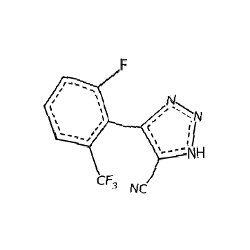 N#Cc1[nH]nnc1-c1c(F)cccc1C(F)(F)F